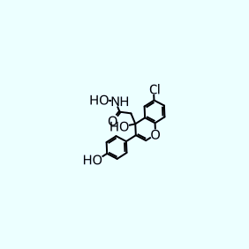 O=C(CC1(O)C(c2ccc(O)cc2)=COc2ccc(Cl)cc21)NO